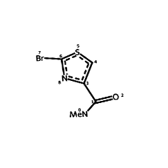 CNC(=O)c1csc(Br)n1